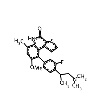 COc1cc(C)c2[nH]c(=O)c3sccc3c2c1-c1ccc(C(C)CN(C)C)c(F)c1